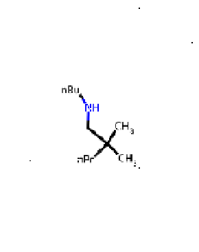 CCCCNCC(C)(C)CCC